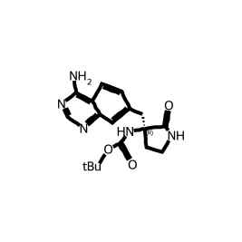 CC(C)(C)OC(=O)N[C@]1(Cc2ccc3c(N)ncnc3c2)CCNC1=O